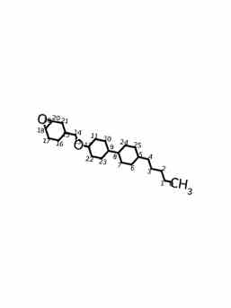 CCCCCC1CCC(C2CCC(OCC3CCC4OC4C3)CC2)CC1